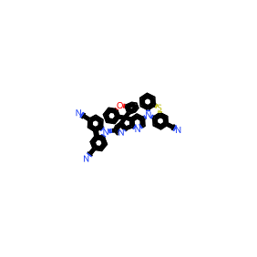 N#Cc1ccc2c(c1)Sc1ccccc1N2c1cnc2c(c1)C1(c3ccccc3Oc3ccccc31)c1cc(-n3c4ccc(C#N)cc4c4cc(C#N)ccc43)cnc1-2